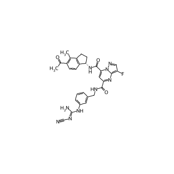 CC(=O)c1ccc2c(c1C)CC[C@@H]2NC(=O)c1cc(C(=O)NCc2cccc(N/C(N)=N/C#N)c2)nc2c(F)cnn12